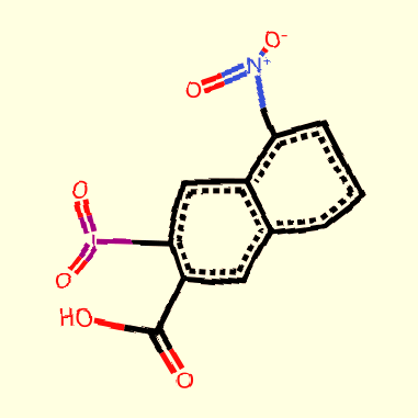 O=C(O)c1cc2cccc([N+](=O)[O-])c2cc1I(=O)=O